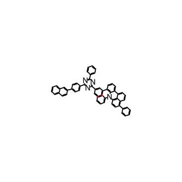 c1ccc(-c2nc(-c3ccc(-c4ccc5ccccc5c4)cc3)nc(-c3cccc(-c4cccc5c4N(c4ccccc4)c4ccc(-c6ccccc6)c6cccc-5c46)c3)n2)cc1